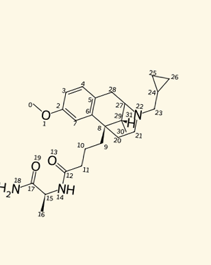 COc1ccc2c(c1)[C@@]1(CCCC(=O)N[C@@H](C)C(N)=O)CCN(CC3CC3)C(C2)[C@@H]1C